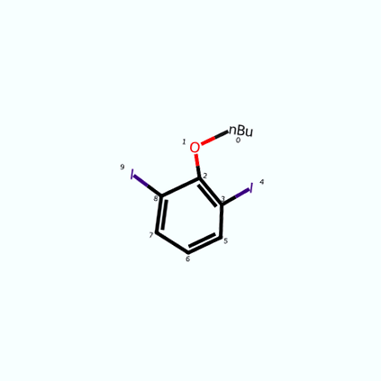 CCCCOc1c(I)cccc1I